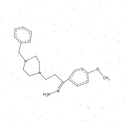 COc1ccc(C(CCN2CCN(Cc3ccccc3)CC2)=NN)cc1